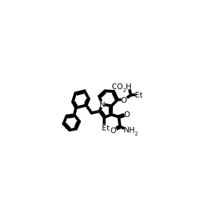 CCc1c(C(=O)C(N)=O)c2c(OC(CC)C(=O)O)cccn2c1Cc1ccccc1-c1ccccc1